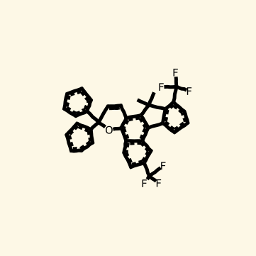 CC1(C)c2c(cccc2C(F)(F)F)-c2c1c1c(c3ccc(C(F)(F)F)cc23)OC(c2ccccc2)(c2ccccc2)C=C1